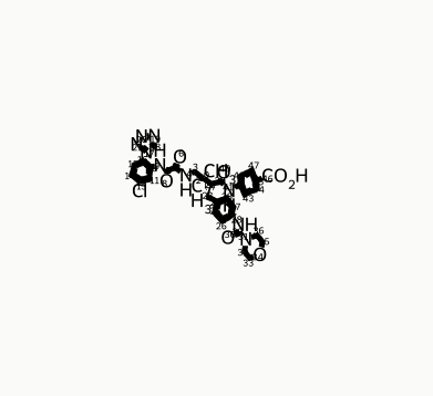 CC(C)(CNC(=O)C(=O)Nc1cc(Cl)ccc1-n1cnnn1)[C@H](Cc1ccc(NC(=O)N2CCOCC2)cc1)C(=O)Nc1ccc(C(=O)O)cc1